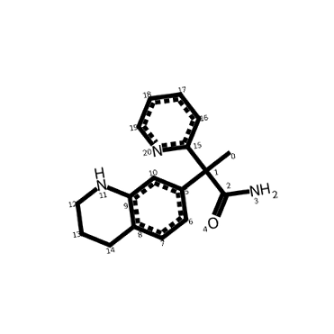 CC(C(N)=O)(c1ccc2c(c1)NCCC2)c1ccccn1